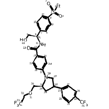 CCS(=O)(=O)c1ccc([C@H](CO)NC(=O)c2ccc(N3CC(c4ccc(C(F)(F)F)cc4)C[C@H]3COCC(F)(F)F)cc2)cc1